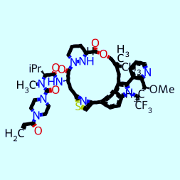 C=CC(=O)N1CCN(C(=O)N(C)[C@H](C(=O)N[C@H]2Cc3nc(cs3)-c3ccc4c(c3)c(c(-c3cccnc3[C@H](C)OC)n4CC(F)(F)F)CC(C)(C)COC(=O)[C@@H]3CCCN(N3)C2=O)C(C)C)CC1